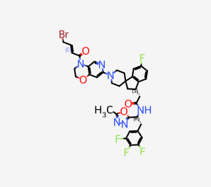 Cc1nnc([C@@H](Cc2cc(F)c(F)c(F)c2)NC(=O)C[C@@H]2CC3(CCN(c4cc5c(cn4)N(C(=O)/C=C/CBr)CCO5)CC3)c3cc(F)ccc32)o1